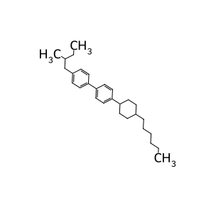 CCCCCCC1CCC(c2ccc(-c3ccc(CC(C)CC)cc3)cc2)CC1